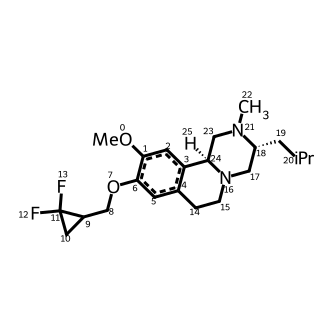 COc1cc2c(cc1OCC1CC1(F)F)CCN1C[C@@H](CC(C)C)N(C)C[C@H]21